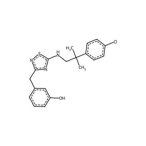 CC(C)(CNc1nc(Cc2cccc(O)c2)ns1)c1ccc(Cl)cc1